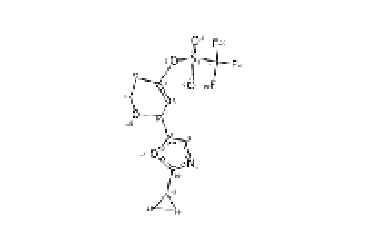 O=S(=O)(OC1=CC(c2cnc(C3CC3)o2)OCC1)C(F)(F)F